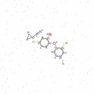 N#CC1(Sc2ccc(Oc3ccc(F)cc3F)c(Br)c2)CC1